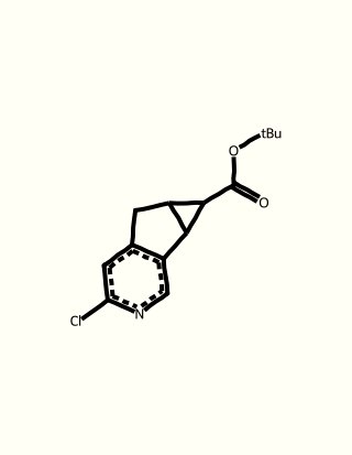 CC(C)(C)OC(=O)C1C2Cc3cc(Cl)ncc3C21